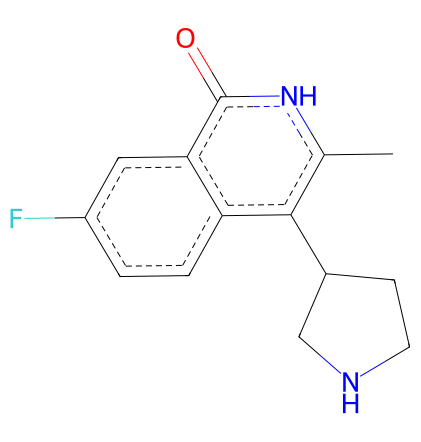 Cc1[nH]c(=O)c2cc(F)ccc2c1C1CCNC1